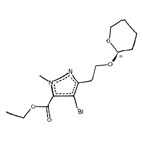 CCOC(=O)c1c(Br)c(CCO[C@@H]2CCCCO2)nn1C